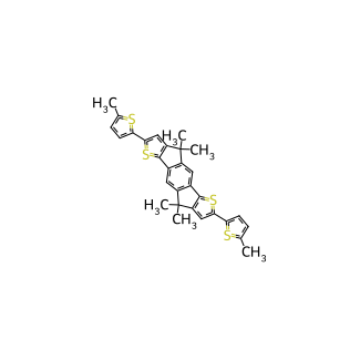 Cc1ccc(-c2cc3c(s2)-c2cc4c(cc2C3(C)C)-c2sc(-c3ccc(C)s3)cc2C4(C)C)s1